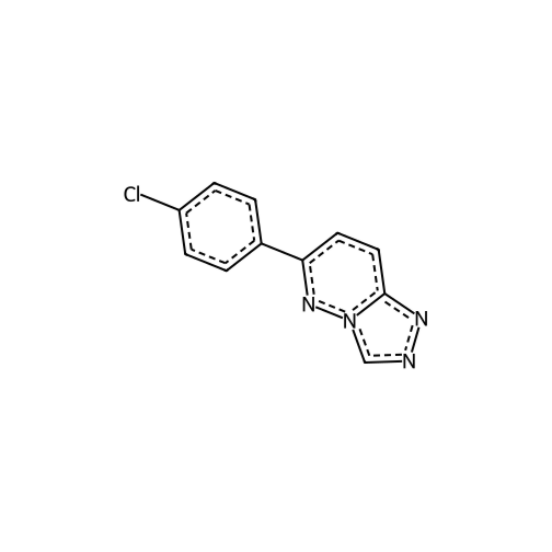 Clc1ccc(-c2ccc3nncn3n2)cc1